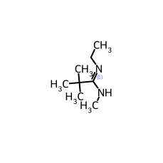 CC/N=C(/NC)C(C)(C)C